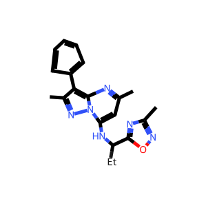 CCC(Nc1cc(C)nc2c(-c3ccccc3)c(C)nn12)c1nc(C)no1